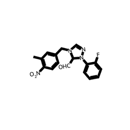 Cc1cc(CN2C=NN(c3ccccc3F)C2C=O)ccc1[N+](=O)[O-]